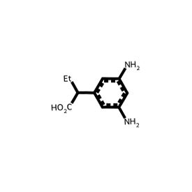 CCC(C(=O)O)c1cc(N)cc(N)c1